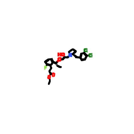 CCOC(=O)CCc1c(F)cccc1[C@@H](CC)OC[C@H](O)CN1CCC[C@H]1Cc1ccc(Cl)c(Cl)c1